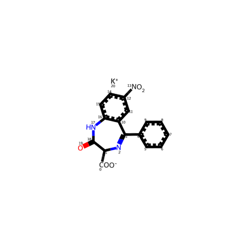 O=C([O-])C1N=C(c2ccccc2)c2cc([N+](=O)[O-])ccc2NC1=O.[K+]